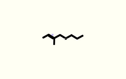 C/C=C(\C)CS[CH]CC